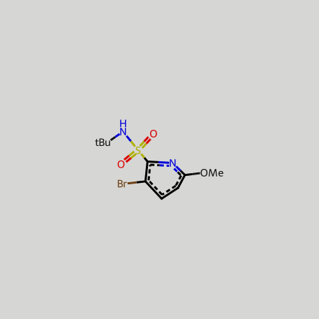 COc1ccc(Br)c(S(=O)(=O)NC(C)(C)C)n1